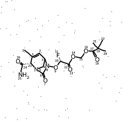 CC1=CC2CN(C(=O)N2O[C@H](F)C(=O)OCOC(=O)C(C)(C)C)[C@@H]1C(N)=O